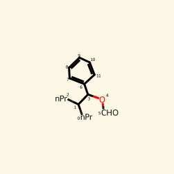 CCCC(CCC)C(OC=O)c1ccccc1